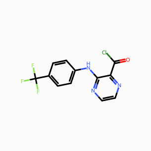 O=C(Cl)c1nccnc1Nc1ccc(C(F)(F)F)cc1